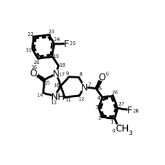 Cc1ccc(C(=O)N2CCC3(CC2)NCC(=O)N3Cc2ccccc2F)cc1F